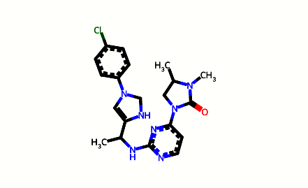 CC(Nc1nccc(N2CC(C)N(C)C2=O)n1)C1=CN(c2ccc(Cl)cc2)CN1